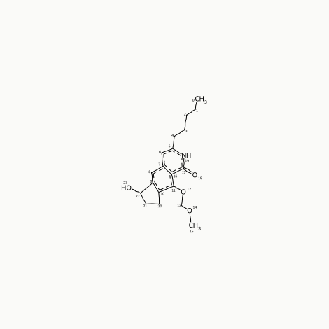 CCCCCc1cc2cc3c(c(OCOC)c2c(=O)[nH]1)CCC3O